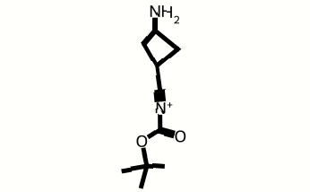 CC(C)(C)OC(=O)[N+]#CC1CC(N)C1